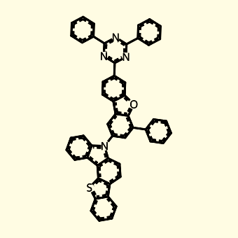 c1ccc(-c2nc(-c3ccccc3)nc(-c3ccc4c(c3)oc3c(-c5ccccc5)cc(-n5c6ccccc6c6c7sc8ccccc8c7ccc65)cc34)n2)cc1